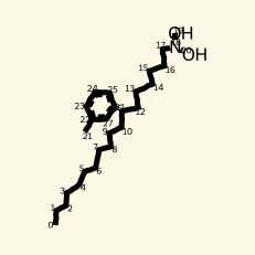 CCCCCCCCCCCCCCCCCCN(O)O.Cc1ccccc1